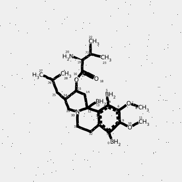 Bc1c2c(c(B)c(OC)c1OC)C1(B)CC(OC(=O)[C@@H](N)C(C)C)C(CC(C)C)CN1CC2